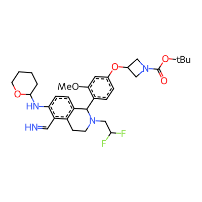 COc1cc(OC2CN(C(=O)OC(C)(C)C)C2)ccc1C1c2ccc(NC3CCCCO3)c(C=N)c2CCN1CC(F)F